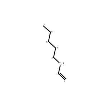 C=[C]SCCCCC